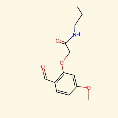 CCCNC(=O)COc1cc(OC)ccc1C=O